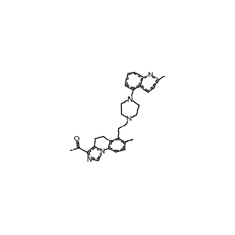 CC(=O)c1ncn2c1CCc1c-2ccc(C)c1CCN1CCN(c2cccc3nc(C)ccc23)CC1